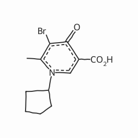 Cc1c(Br)c(=O)c(C(=O)O)cn1C1CCCC1